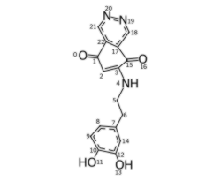 O=C1C=C(NCCc2ccc(O)c(O)c2)C(=O)c2cnncc21